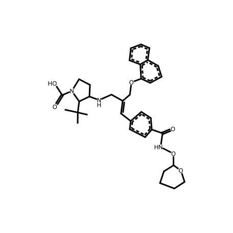 CC(C)(C)C1C(NCC(=Cc2ccc(C(=O)NOC3CCCCO3)cc2)COc2cccc3ccccc23)CCN1C(=O)O